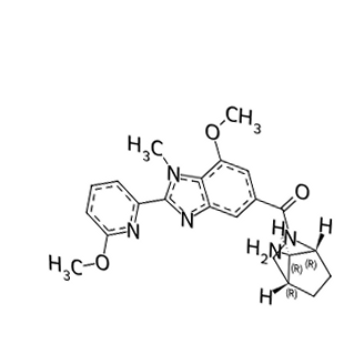 COc1cccc(-c2nc3cc(C(=O)N4C[C@H]5CC[C@@H]4[C@@H]5N)cc(OC)c3n2C)n1